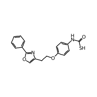 O=C(S)Nc1ccc(OCCc2coc(-c3ccccc3)n2)cc1